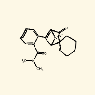 CN(C)C(=O)c1ccccc1C1=C2C(=O)C3(CCCCC3)C1[N+]2=[N-]